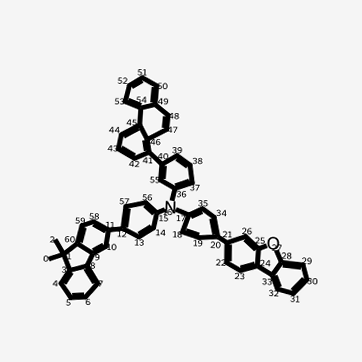 CC1(C)c2ccccc2-c2cc(-c3ccc(N(c4ccc(-c5ccc6c(c5)oc5ccccc56)cc4)c4cccc(-c5cccc6c5ccc5ccccc56)c4)cc3)ccc21